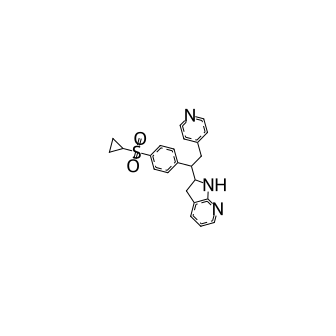 O=S(=O)(c1ccc(C(Cc2ccncc2)C2Cc3cccnc3N2)cc1)C1CC1